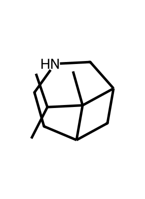 CC(C)C1(C)C2CCNCC1C2